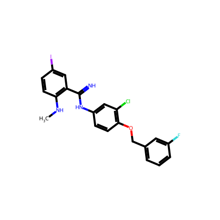 CNc1ccc(I)cc1C(=N)Nc1ccc(OCc2cccc(F)c2)c(Cl)c1